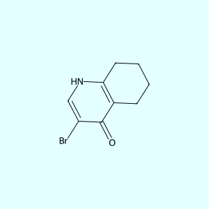 O=c1c(Br)c[nH]c2c1CCCC2